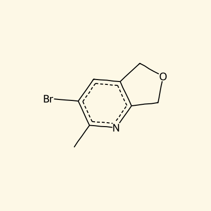 Cc1nc2c(cc1Br)COC2